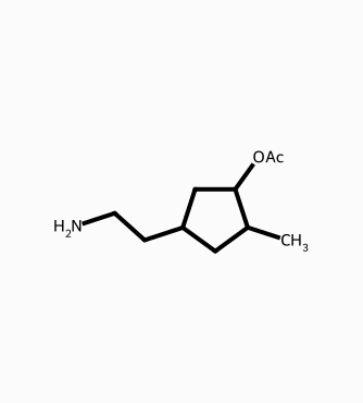 CC(=O)OC1CC(CCN)CC1C